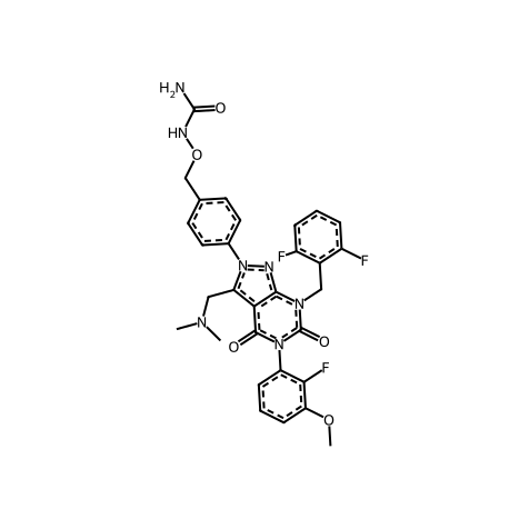 COc1cccc(-n2c(=O)c3c(CN(C)C)n(-c4ccc(CONC(N)=O)cc4)nc3n(Cc3c(F)cccc3F)c2=O)c1F